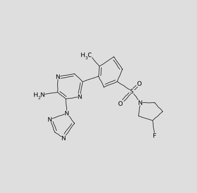 Cc1ccc(S(=O)(=O)N2CCC(F)C2)cc1-c1cnc(N)c(-n2cncn2)n1